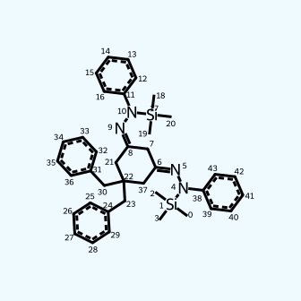 C[Si](C)(C)N(N=C1CC(=NN(c2ccccc2)[Si](C)(C)C)CC(Cc2ccccc2)(Cc2ccccc2)C1)c1ccccc1